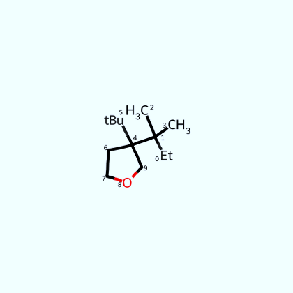 CCC(C)(C)C1(C(C)(C)C)CCOC1